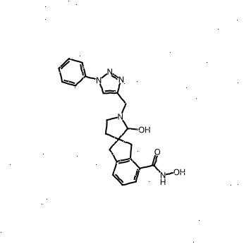 O=C(NO)c1cccc2c1CC1(CCN(Cc3cn(-c4ccccc4)nn3)C1O)C2